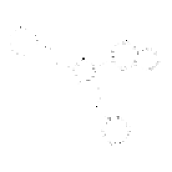 c1ccc(COc2nn(CCN3CCCCC3)cc2-c2ccc3[nH]ccc3c2)cc1